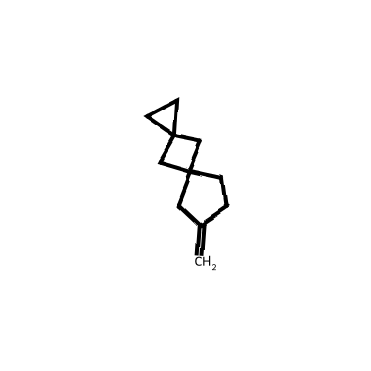 C=C1CCC2(C1)CC1(CC1)C2